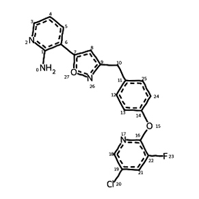 Nc1ncccc1-c1cc(Cc2ccc(Oc3ncc(Cl)cc3F)cc2)no1